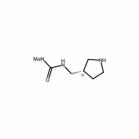 CNC(=O)NC[C@H]1CCNC1